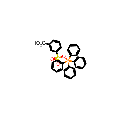 O=C(O)c1cccc(S(=O)(=O)OP(c2ccccc2)(c2ccccc2)(c2ccccc2)c2ccccc2)c1